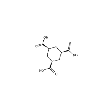 O=C(O)[C@H]1C[C@@H](C(=O)O)C[C@@H](C(=O)O)C1